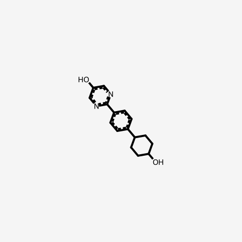 Oc1cnc(-c2ccc(C3CCC(O)CC3)cc2)nc1